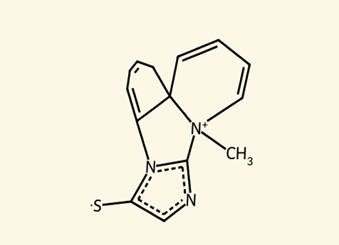 C[N+]12C=CC=CC13CC=CC=C3n1c([S])cnc12